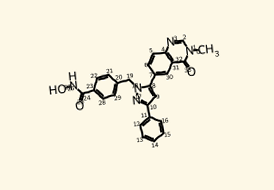 Cn1cnc2ccc(-c3cc(-c4ccccc4)nn3Cc3ccc(C(=O)NO)cc3)cc2c1=O